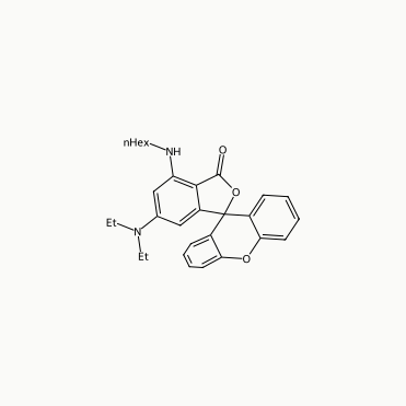 CCCCCCNc1cc(N(CC)CC)cc2c1C(=O)OC21c2ccccc2Oc2ccccc21